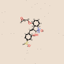 C[S+]([O-])c1ccc(C=C2C[NH+]([O-])c3cccc(OCC4CO4)c32)c(O)c1